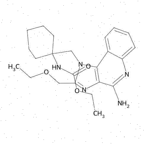 CCOCc1nc2c(N)nc3ccccc3c2n1CC1(NC(=O)OCC)CCCCC1